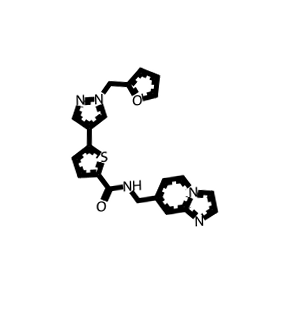 O=C(NCc1ccn2ccnc2c1)c1ccc(-c2cnn(Cc3ccco3)c2)s1